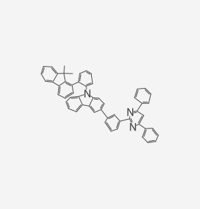 CC1(C)c2ccccc2-c2cccc(-c3ccccc3-n3c4ccccc4c4cc(-c5cccc(-c6nc(-c7ccccc7)cc(-c7ccccc7)n6)c5)ccc43)c21